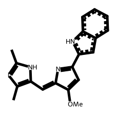 COC1=CC(c2cc3ccccc3[nH]2)=NC1=CC1=C(C)I=C(C)N1